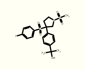 CS(=O)(=O)N1CCC(c2ccc(C(O)(C(F)(F)F)C(F)(F)F)cc2)(S(=O)(=O)c2ccc(F)cc2)C1